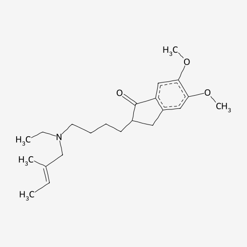 C/C=C(\C)CN(CC)CCCCC1Cc2cc(OC)c(OC)cc2C1=O